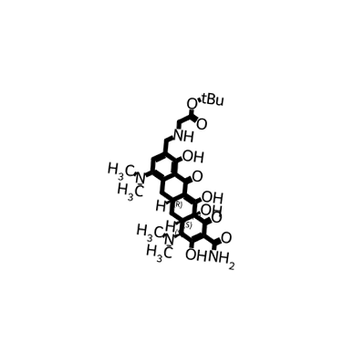 CN(C)c1cc(CNCC(=O)OC(C)(C)C)c(O)c2c1C[C@H]1C[C@H]3[C@H](N(C)C)C(O)=C(C(N)=O)C(=O)[C@@]3(O)C(O)=C1C2=O